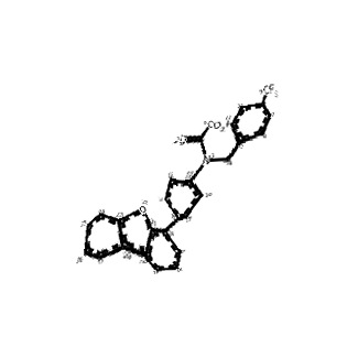 O=C(O)C(=O)N(Cc1ccc(C(F)(F)F)cc1)c1ccc(-c2cccc3c2oc2ccccc23)cc1